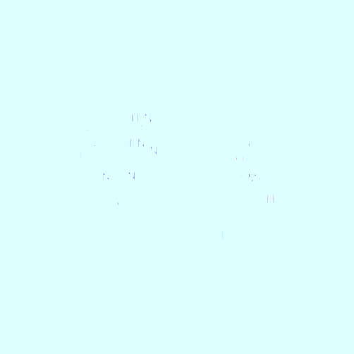 CCC(F)(F)c1cn(-c2ccc(-c3cc(F)c(CO)c(SC)c3)cc2N(N)/C(=C\N)c2ccc(OC(F)(F)F)cc2)c(C)n1